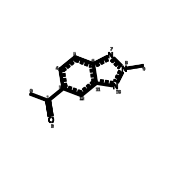 CC(=O)c1ccc2nn(C)nc2c1